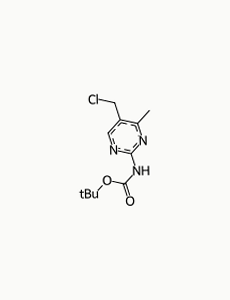 Cc1nc(NC(=O)OC(C)(C)C)ncc1CCl